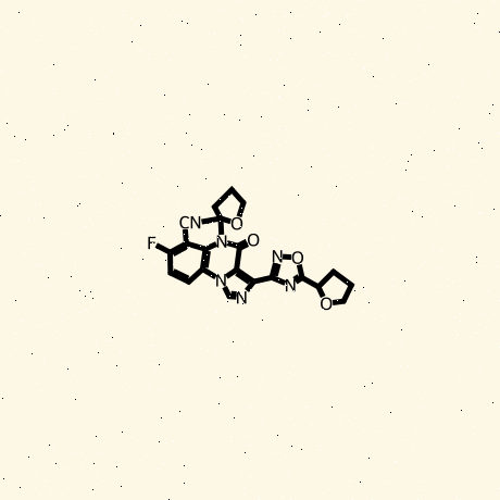 CC1(n2c(=O)c3c(-c4noc(C5CCCO5)n4)ncn3c3ccc(F)c(C#N)c32)CCCO1